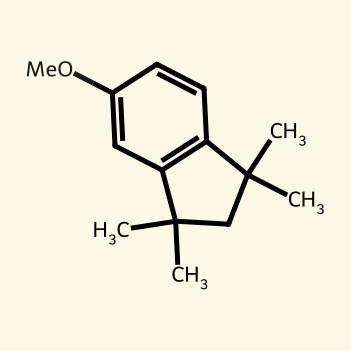 COc1ccc2c(c1)C(C)(C)CC2(C)C